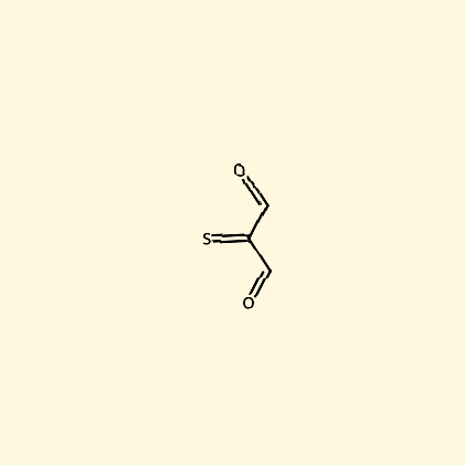 O=CC(=S)C=O